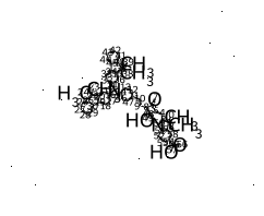 CC1(C)C(/C=C2/C(=O)C(/C=C/c3ccc(N(c4ccc5c(c4)C(C)(C)c4ccccc4-5)c4ccc5c(c4)C(C)(C)c4ccccc4-5)cc3)=C2O)=Nc2ccc(C(=O)O)cc21